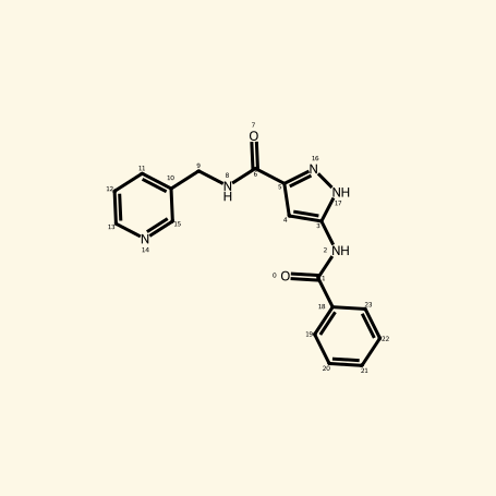 O=C(Nc1cc(C(=O)NCc2cccnc2)n[nH]1)c1ccccc1